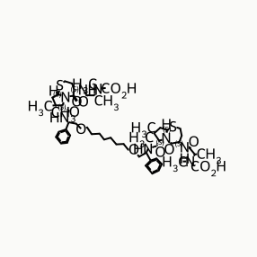 CC(C(=O)N[C@H]1CCS[C@H]2CC(C)(C)[C@@H](C(=O)NC(COCCCCCCCCOCC(NC(=O)[C@H]3N4C(=O)[C@@H](NC(=O)C(C)N(C)C(=O)O)CCS[C@H]4CC3(C)C)c3ccccc3)c3ccccc3)N2C1=O)N(C)C(=O)O